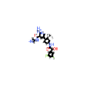 Cc1cc(NC(=O)[C@H](O)c2cc(F)cc(F)c2)ccc1-c1cnc(N)c(C(=O)NC2CNC2)c1